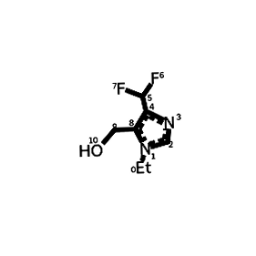 CCn1cnc(C(F)F)c1CO